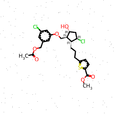 COC(=O)c1ccc(CCC[C@@H]2[C@@H](COc3cc(Cl)cc(COC(C)=O)c3)[C@H](O)C[C@H]2Cl)s1